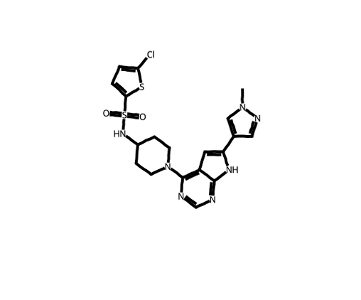 Cn1cc(-c2cc3c(N4CCC(NS(=O)(=O)c5ccc(Cl)s5)CC4)ncnc3[nH]2)cn1